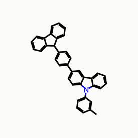 Cc1cccc(-n2c3ccccc3c3cc(-c4ccc(C5c6ccccc6-c6ccccc65)cc4)ccc32)c1